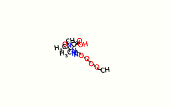 C#CCOCCOCCOCCOCc1cn(C2c3cc(C(=O)O)ccc3N(C(C)=O)C(CC)C2C)nn1